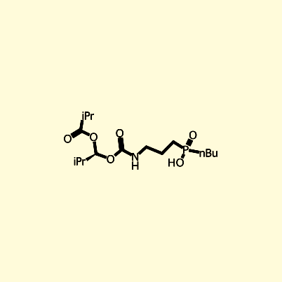 CCCCP(=O)(O)CCCNC(=O)O[C@H](OC(=O)C(C)C)C(C)C